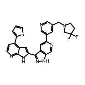 FC1(F)CCN(Cc2cncc(-c3cc4c(-c5cc6c(-c7cccs7)ccnc6[nH]5)n[nH]c4cn3)c2)C1